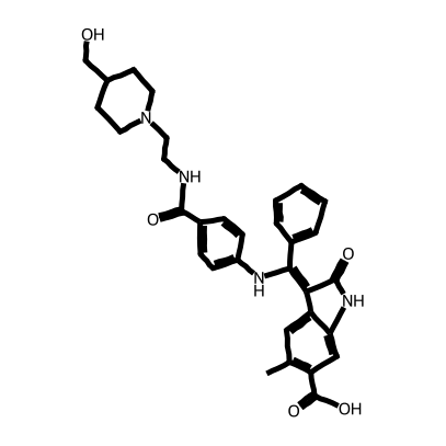 Cc1cc2c(cc1C(=O)O)NC(=O)C2=C(Nc1ccc(C(=O)NCCN2CCC(CO)CC2)cc1)c1ccccc1